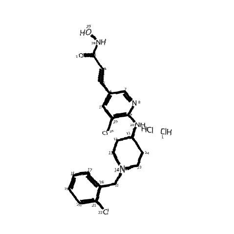 Cl.Cl.O=C(C=Cc1cnc(NC2CCN(Cc3ccccc3Cl)CC2)c(Cl)c1)NO